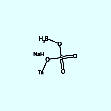 BOS(=O)(=O)[O][Ta].[NaH]